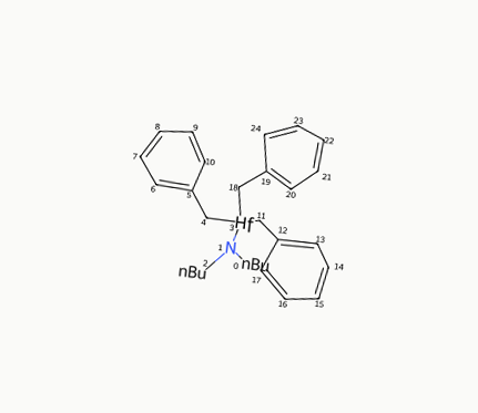 CCCC[N](CCCC)[Hf]([CH2]c1ccccc1)([CH2]c1ccccc1)[CH2]c1ccccc1